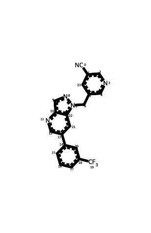 N#Cc1cncc(Cn2ncc3ncc(-c4cccc(C(F)(F)F)c4)cc32)c1